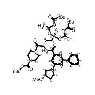 CCCCOC(=O)N1CCN(C(=O)[C@H](CCP(=O)(OC(C)OC(=O)C(C)(C)C)OC(C)OC(=O)C(C)(C)C)NC(=O)c2cc(N3CC[C@H](OC)C3)nc(-c3ccccc3)n2)CC1